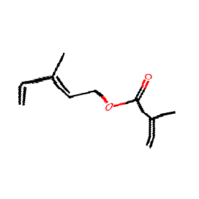 C=CC(C)=CCOC(=O)C(=C)C